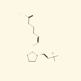 CCCCC[C@](C)(O)/C=C/[C@@H]1[C@@H](C/C=C\CCCC(=O)OC)CC[C@H]1O